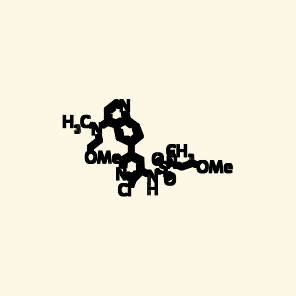 COCCN(C)c1ccnc2ccc(-c3cnc(Cl)c(NS(=O)(=O)N(C)CCOC)c3)cc12